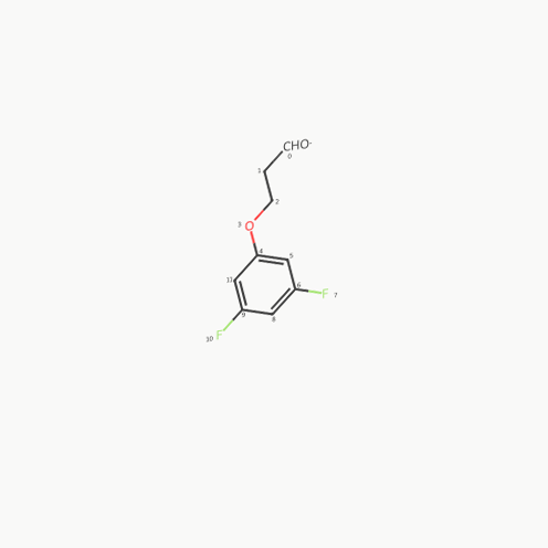 O=[C]CCOc1cc(F)cc(F)c1